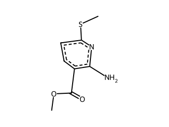 COC(=O)c1ccc(SC)nc1N